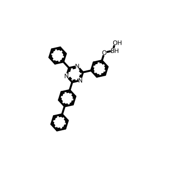 OBOc1cccc(-c2nc(-c3ccccc3)nc(-c3ccc(-c4ccccc4)cc3)n2)c1